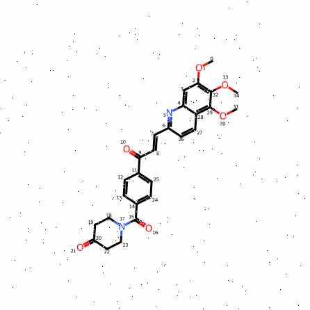 COc1cc2nc(/C=C/C(=O)c3ccc(C(=O)N4CCC(=O)CC4)cc3)ccc2c(OC)c1OC